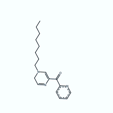 CCCCCCCCN1C=C(C(=O)c2ccccn2)N=CC1